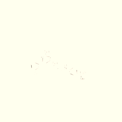 Cc1c(Cl)cccc1-c1cc(NCC(C)(C)CNc2ccc([SH](=N)=O)cc2)nc(N)n1